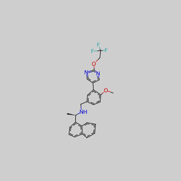 COc1ccc(CN[C@H](C)c2cccc3ccccc23)cc1-c1cnc(OCC(F)(F)F)nc1